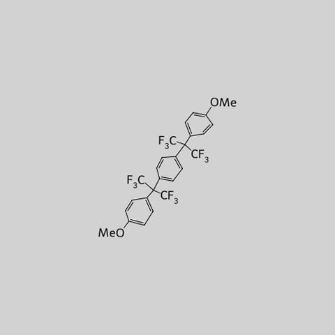 COc1ccc(C(c2ccc(C(c3ccc(OC)cc3)(C(F)(F)F)C(F)(F)F)cc2)(C(F)(F)F)C(F)(F)F)cc1